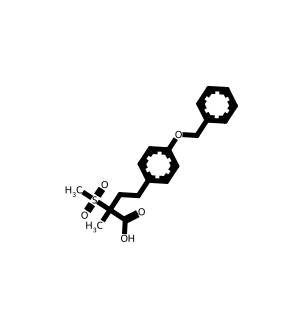 CC(CCc1ccc(OCc2ccccc2)cc1)(C(=O)O)S(C)(=O)=O